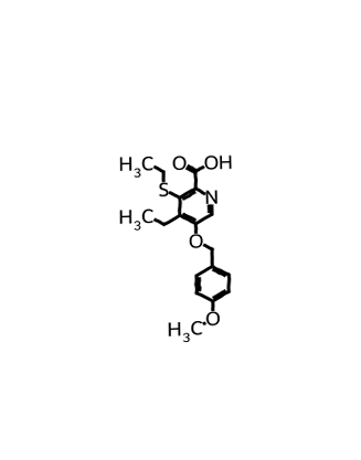 CCSc1c(C(=O)O)ncc(OCc2ccc(OC)cc2)c1CC